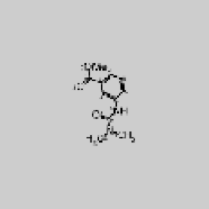 COC(=O)c1cccc(NC(=O)N(C)C)c1